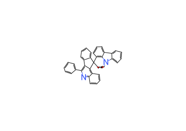 c1ccc(-c2nc3ccccc3c3c2-c2ccccc2C32c3ccccc3-n3c4ccccc4c4cccc2c43)cc1